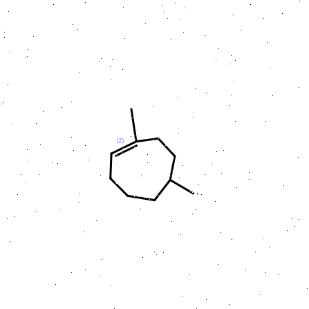 [CH2]C1CCC/C=C(/C)CC1